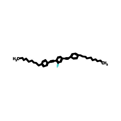 CCCCCCCCCCc1ccc(C#Cc2ccc(C#Cc3ccc(CCCCCCCCC)cc3)c(F)c2)cc1